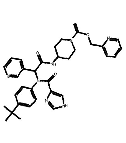 C=C(OCc1ccccn1)N1CCC(NC(=O)C(c2cccnc2)N(C(=O)c2c[nH]cn2)c2ccc(C(C)(C)C)cc2)CC1